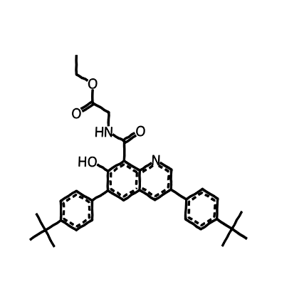 CCOC(=O)CNC(=O)c1c(O)c(-c2ccc(C(C)(C)C)cc2)cc2cc(-c3ccc(C(C)(C)C)cc3)cnc12